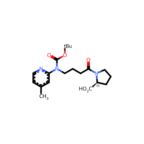 Cc1ccnc(N(CCCC(=O)N2CCC[C@H]2C(=O)O)C(=O)OC(C)(C)C)c1